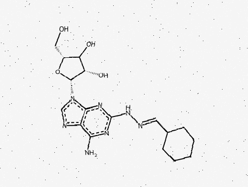 Nc1nc(NN=CC2CCCCC2)nc2c1ncn2[C@@H]1O[C@H](CO)C(O)[C@@H]1O